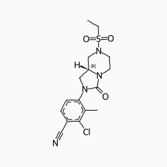 CCS(=O)(=O)N1CCN2C(=O)N(c3ccc(C#N)c(Cl)c3C)C[C@@H]2C1